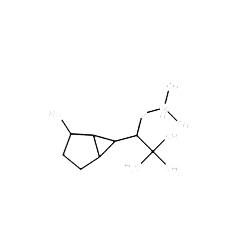 C[SiH](C)OC(C1C2CCC(O)C21)C(C)(C)C